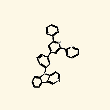 c1ccc(-c2cc(-c3cccc(-n4c5ccccc5c5cnccc54)c3)cc(-c3ccccn3)n2)cc1